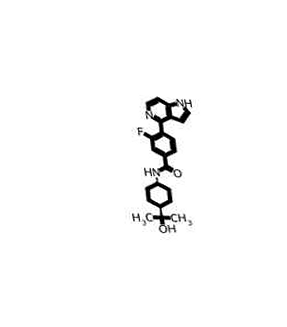 CC(C)(O)[C@H]1CC[C@H](NC(=O)c2ccc(-c3nccc4[nH]ccc34)c(F)c2)CC1